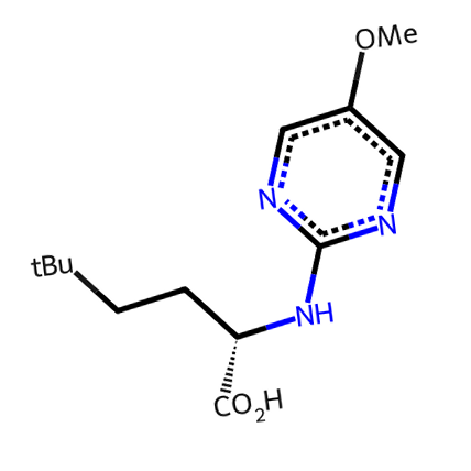 COc1cnc(N[C@@H](CCC(C)(C)C)C(=O)O)nc1